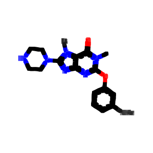 CCn1c(N2CCNCC2)nc2nc(Oc3cccc(NC(C)=O)c3)n(C)c(=O)c21